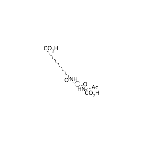 CC(=O)CC[C@H](NC(=O)[C@H]1CC[C@H](CNC(=O)CCCCCCCCCCCCCCC(=O)O)CC1)C(=O)O